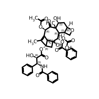 CC(=O)O[C@H]1C(=O)[C@@]2(C)[C@H]([C@H](OC(=O)c3ccccc3)[C@]3(O)C[C@@]4(OC(=O)[C@H](O)[C@@H](NC(=O)c5ccccc5)c5ccccc5)C(C)=C1[C@]34C)[C@]1(OC(C)=O)CO[C@@H]1C[C@@H]2O